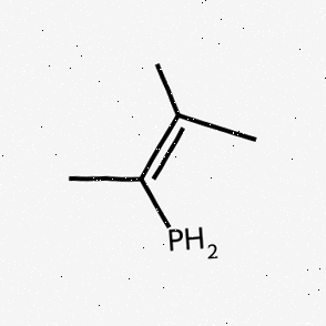 CC(C)=C(C)P